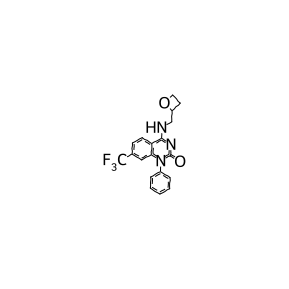 O=c1nc(NCC2CCO2)c2ccc(C(F)(F)F)cc2n1-c1ccccc1